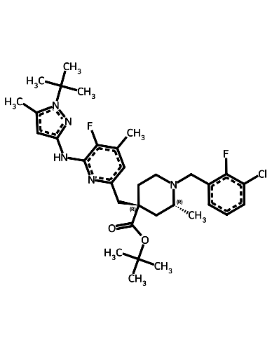 Cc1cc(C[C@@]2(C(=O)OC(C)(C)C)CCN(Cc3cccc(Cl)c3F)[C@H](C)C2)nc(Nc2cc(C)n(C(C)(C)C)n2)c1F